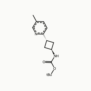 Cc1ccc([C@H]2C[C@H](NC(=O)OC(C)(C)C)C2)nc1